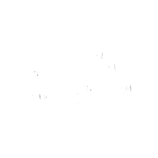 CC1(C)CC2/C(=C(/C=O)c3ccccn3)C(=O)N2[C@H]1C(=O)O